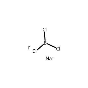 ClB(Cl)Cl.[I-].[Na+]